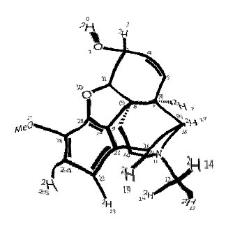 [2H]OC1([2H])C=C[C@]2([2H])[C@@]34CCN(C([2H])([2H])[2H])[C@]2([2H])C([2H])([2H])c2c([2H])c([2H])c(OC)c(c23)OC14